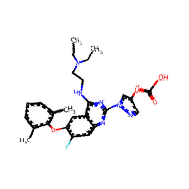 CCN(CC)CCNc1nc(-n2cc(OC(=O)O)cn2)nc2cc(F)c(Oc3c(C)cccc3C)cc12